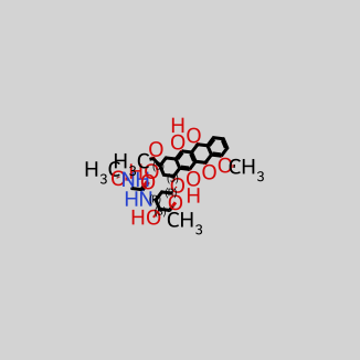 CONCC(=O)N[C@@H]1C[C@H](O[C@H]2C[C@](O)(C(C)=O)Cc3c(O)c4c(c(O)c32)C(=O)c2c(OC)cccc2C4=O)OC(C)[C@H]1O